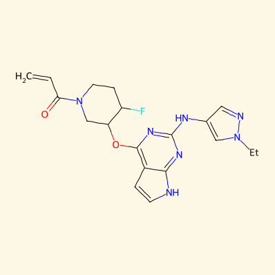 C=CC(=O)N1CCC(F)C(Oc2nc(Nc3cnn(CC)c3)nc3[nH]ccc23)C1